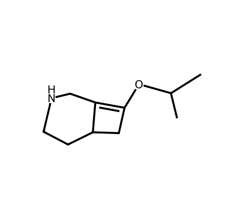 CC(C)OC1=C2CNCCC2C1